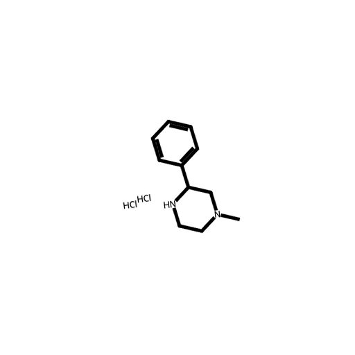 CN1CCNC(c2ccccc2)C1.Cl.Cl